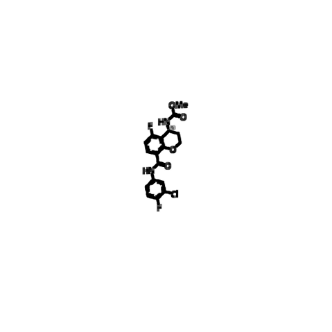 COC(=O)N[C@H]1CCOc2c(C(=O)Nc3ccc(F)c(Cl)c3)ccc(F)c21